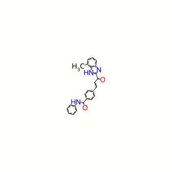 Cc1cccc2nc(C(=O)C=Cc3ccc(C(=O)Nc4ccccc4)cc3)[nH]c12